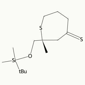 CC(C)(C)[Si](C)(C)OC[C@@]1(C)CC(=S)CCCS1